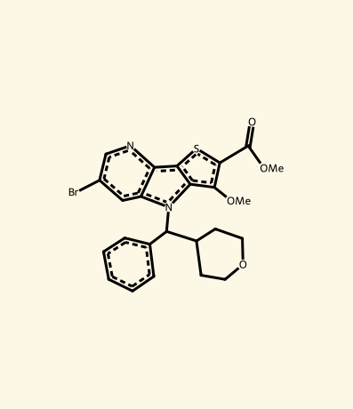 COC(=O)c1sc2c3ncc(Br)cc3n(C(c3ccccc3)C3CCOCC3)c2c1OC